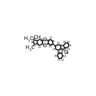 CC1=CC(C)(C)c2cc3c(cc21)Oc1cc(-c2ccc(P(=O)(c4ccccc4)c4ccccc4)cc2)ccc1O3